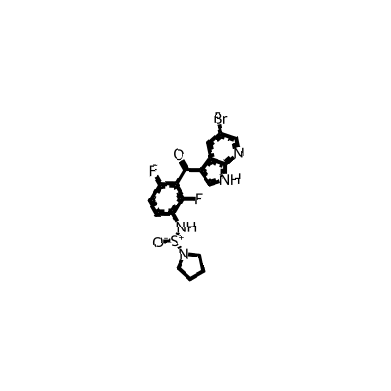 O=C(c1c(F)ccc(N[S+]([O-])N2CCCC2)c1F)c1c[nH]c2ncc(Br)cc12